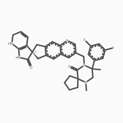 CN1CC(C)(c2cc(F)cc(F)c2)N(Cc2cnc3cc4c(cc3c2)C[C@@]2(C4)C(=O)NC3=C2C=CCN3)C(=O)C12CCCC2